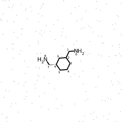 NCC1CCC[C@H](CN)C1